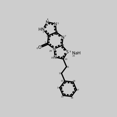 O=c1c2[nH]nnc2nc2sc(CCc3ccccc3)nn12.[NaH]